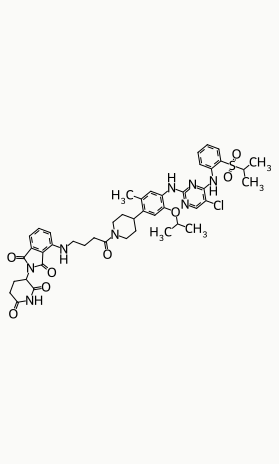 Cc1cc(Nc2ncc(Cl)c(Nc3ccccc3S(=O)(=O)C(C)C)n2)c(OC(C)C)cc1C1CCN(C(=O)CCCNc2cccc3c2C(=O)N(C2CCC(=O)NC2=O)C3=O)CC1